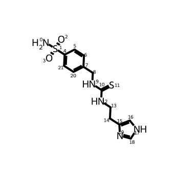 NS(=O)(=O)c1ccc(CNC(=S)NCCc2c[nH]cn2)cc1